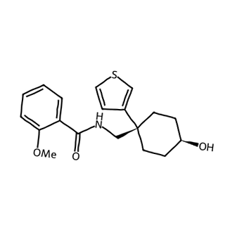 COc1ccccc1C(=O)NC[C@]1(c2ccsc2)CC[C@H](O)CC1